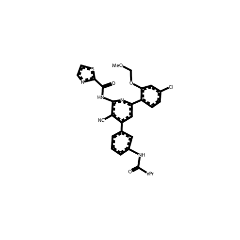 CCCC(=O)Nc1cccc(-c2cc(-c3ccc(Cl)cc3OCOC)nc(NC(=O)c3nccs3)c2C#N)c1